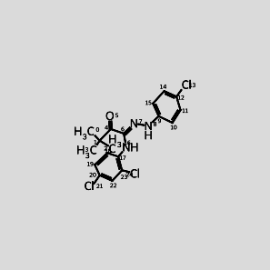 CC(C)(C)C(=O)/C(=N/Nc1ccc(Cl)cc1)Nc1ccc(Cl)cc1Cl